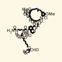 COc1cc2cc(c1Cl)N(C)C(=O)C[C@H](OC(=O)[C@H](C)N(C)C(=O)c1ccc(NC(=O)[C@H](CCCNC(N)=O)NC[C@](C=O)(NC(=O)CCCCCOC(C=O)(CBr)CBr)C(C)C)c3cccnc13)[C@]1(C)O[C@H]1[C@H](C)[C@@H]1C[C@@](O)(NC(=O)O1)[C@H](OC)/C=C/C=C(\C)C2